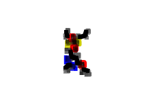 CCCS[P@@](=S)(OCC)OCc1cc(OCC)nc(C)n1